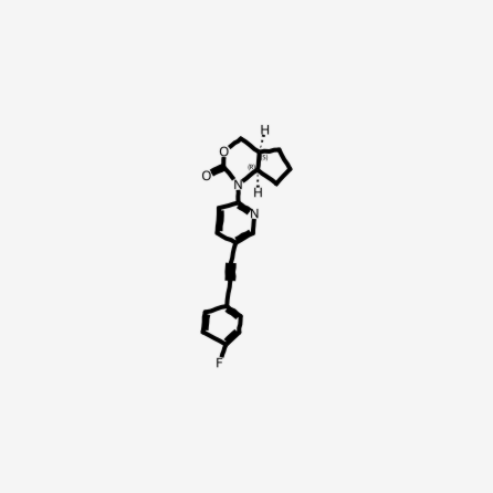 O=C1OC[C@H]2CCC[C@H]2N1c1ccc(C#Cc2ccc(F)cc2)cn1